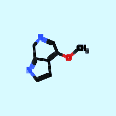 COC1=C2C=CN=C2CN=C1